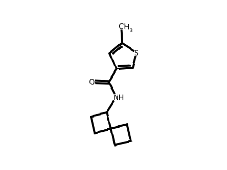 Cc1cc(C(=O)NC2CCC23CCC3)cs1